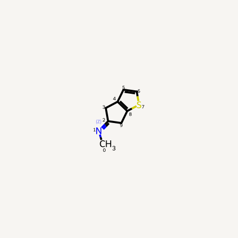 C/N=C1/Cc2ccsc2C1